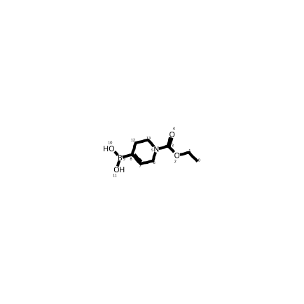 CCOC(=O)N1CC=C(B(O)O)CC1